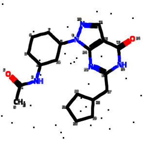 CC(=O)NC1CCCC(n2ncc3c(=O)[nH]c(CC4CCCC4)nc32)C1